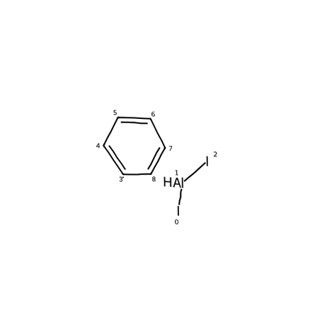 [I][AlH][I].[c]1ccccc1